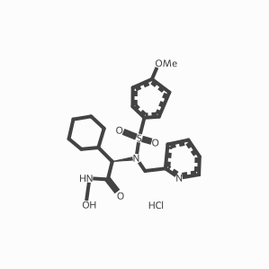 COc1ccc(S(=O)(=O)N(Cc2ccccn2)[C@@H](C(=O)NO)C2CCCCC2)cc1.Cl